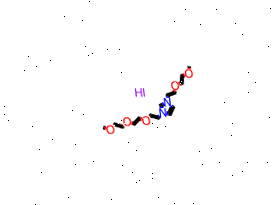 COCCOCCOCCN1C=CN(CCOCCOC)C1.I